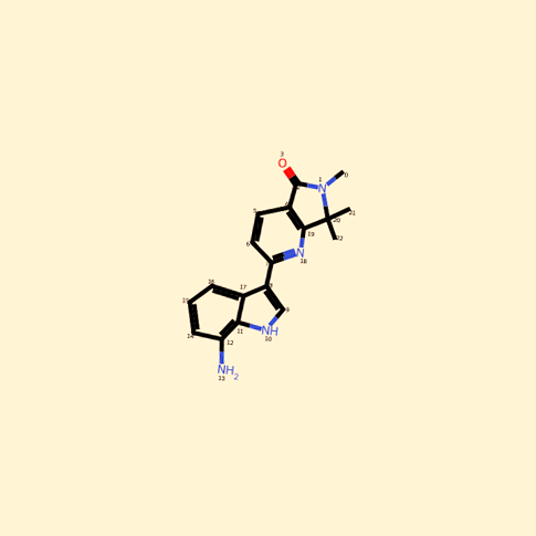 CN1C(=O)c2ccc(-c3c[nH]c4c(N)cccc34)nc2C1(C)C